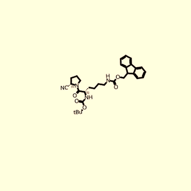 CC(C)(C)OC(=O)N[C@@H](CCCCNC(=O)OCC1c2ccccc2-c2ccccc21)C(=O)N1CCC[C@H]1C#N